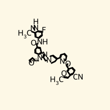 Cc1cc2c(C#N)ccc(COc3cccc(C4=CCN(Cc5nc6cc(C(=O)Nc7cc(F)c8[nH]nc(C)c8c7)ccc6n5C[C@@H]5CCO5)CC4)n3)c2o1